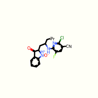 CC(C)CC(CC1C(=O)c2ccccc2[NH+]1[O-])Nc1nc(Cl)c(C#N)cc1F